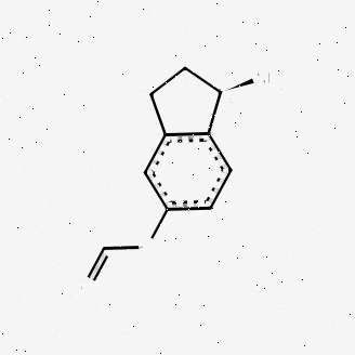 N[C@@H]1CCc2cc(OC=O)ccc21